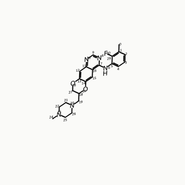 Cc1cccc(Nc2ncnc3cc4c(cc23)OC(CN2CCN(C)CC2)CO4)c1F